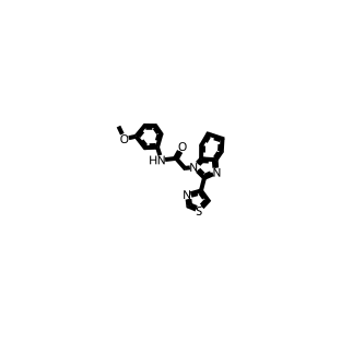 COc1cccc(NC(=O)Cn2c(-c3cscn3)nc3ccccc32)c1